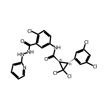 O=C(NNc1ccccn1)c1cc(NC(=O)[C@H]2[C@H](c3cc(Cl)cc(Cl)c3)C2(Cl)Cl)ccc1Cl